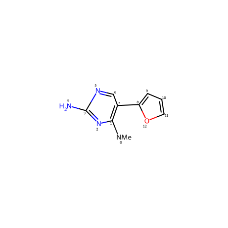 CNc1nc(N)ncc1-c1ccco1